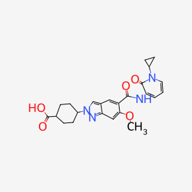 COc1cc2nn(C3CCC(C(=O)O)CC3)cc2cc1C(=O)Nc1cccn(C2CC2)c1=O